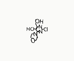 OCc1nc(Cl)nc(N2CCOCC2)c1O